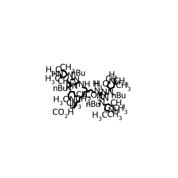 CCCCN(c1nc(NCCC(CCCCCCCC(=O)O)(CCNc2nc(N(CCCC)C3CC(C)(C)NC(C)(C)C3)nc(N(CCCC)C3CC(C)(C)NC(C)(C)C3)n2)C(=O)O)nc(N(CCCC)C2CC(C)(C)NC(C)(C)C2)n1)C1CC(C)(C)NC(C)(C)C1